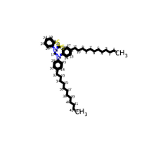 CCCCCCCCCCCCc1ccc(N(Cn2c(=S)sc3ccccc32)c2ccc(CCCCCCCCCCCC)cc2)cc1